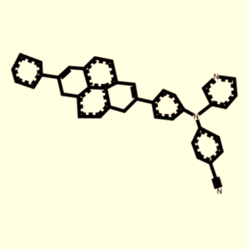 N#Cc1ccc(N(c2ccc(C3=Cc4ccc5c6c(ccc(c46)C3)CC(c3ccccc3)=C5)cc2)c2cccnc2)cc1